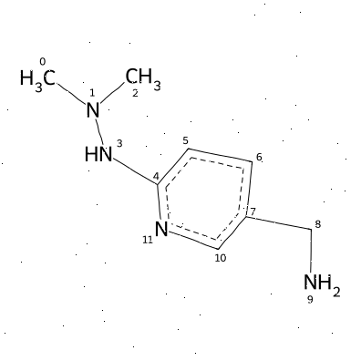 CN(C)Nc1ccc(CN)cn1